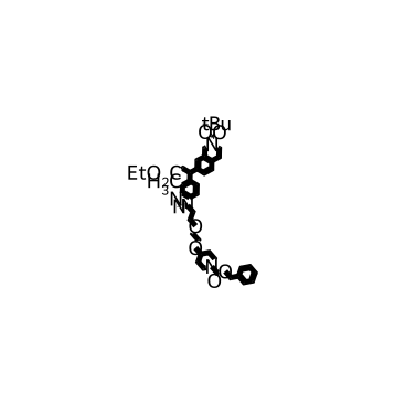 CCOC(=O)CC(c1ccc2c(c1)CN(C(=O)OC(C)(C)C)CC2)c1ccc2c(nnn2CCOCCOC2CCN(C(=O)OCc3ccccc3)CC2)c1C